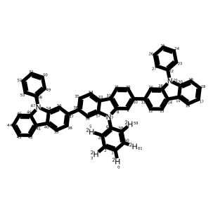 [2H]c1c([2H])c([2H])c(-n2c3cc(-c4ccc5c6ccccc6n(-c6ccccc6)c5c4)ccc3c3ccc(-c4ccc5c6ccccc6n(-c6ccccc6)c5c4)cc32)c([2H])c1[2H]